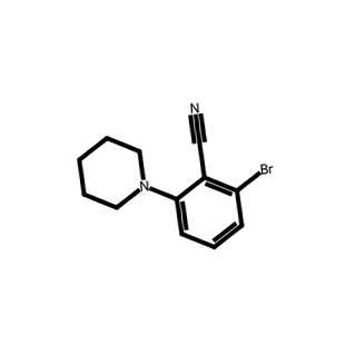 N#Cc1c(Br)cccc1N1CCCCC1